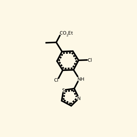 CCOC(=O)C(C)c1cc(Cl)c(Nc2nccs2)c(Cl)c1